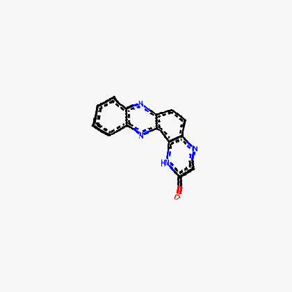 O=c1cnc2ccc3nc4ccccc4nc3c2[nH]1